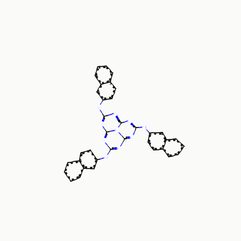 c1ccc2cc(NC3=NC4=NC(Nc5ccc6ccccc6c5)=NC5=NC(Nc6ccc7ccccc7c6)=NC(=N3)N45)ccc2c1